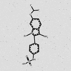 CCCS(=O)(=O)Nc1ccc(-c2c(N)c3ccc(OC(F)F)cc3n2C(C)C)cc1